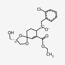 CCOC(=O)C1=CC2(CCC1[S+]([O-])Cc1ccccc1Cl)OC[C@H](CO)O2